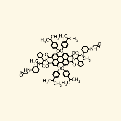 CC(C)c1ccc(Oc2cc3c4c(cc(Oc5ccc(C(C)C)cc5)c5c6c(Oc7ccc(C(C)C)cc7)cc7c8c(cc(Oc9ccc(C(C)C)cc9)c(c2c45)c86)C(=O)N(C(C(=O)N(C)C2CCCC(NCC4CO4)C2)C2CCCC2)C7=O)C(=O)N(C(C(=O)N(C)C2CCCC(NCC4CO4)C2)C2CCCC2)C3=O)cc1